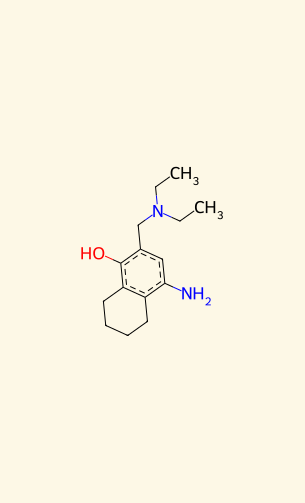 CCN(CC)Cc1cc(N)c2c(c1O)CCCC2